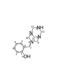 Oc1ccccc1C=[N+]1CN2CNCN(C2)C1